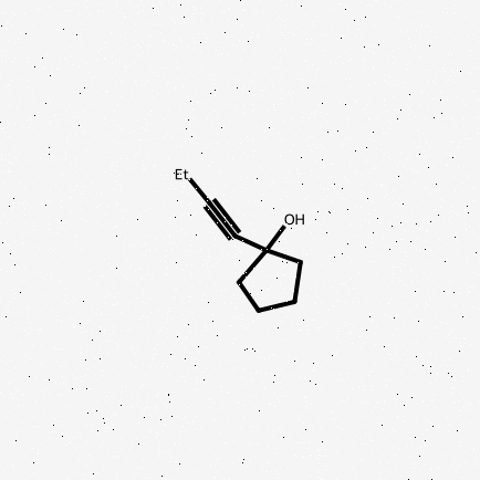 CCC#CC1(O)CCCC1